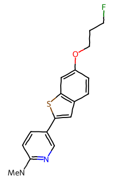 CNc1ccc(-c2cc3ccc(OCCCF)cc3s2)cn1